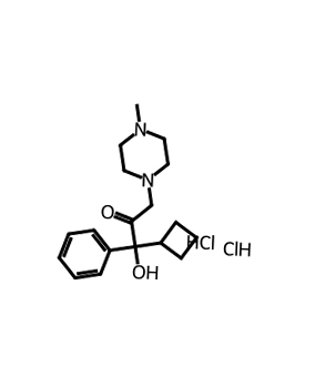 CN1CCN(CC(=O)C(O)(c2ccccc2)C2CCC2)CC1.Cl.Cl